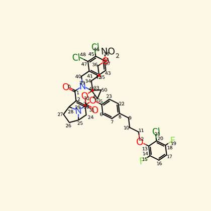 O=C(C1=C(Oc2ccc(CCCOc3c(F)ccc(F)c3Cl)cc2)CC2CCC1N2C(=O)OCCCCO[N+](=O)[O-])N(Cc1cccc(Cl)c1Cl)C1CC1